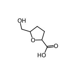 O=C(O)C1CCC(CO)O1